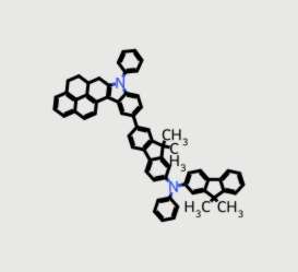 CC1(C)c2ccccc2-c2ccc(N(c3ccccc3)c3ccc4c(c3)C(C)(C)c3cc(-c5ccc6c(c5)c5c(n6-c6ccccc6)CC6CCc7cccc8ccc-5c6c78)ccc3-4)cc21